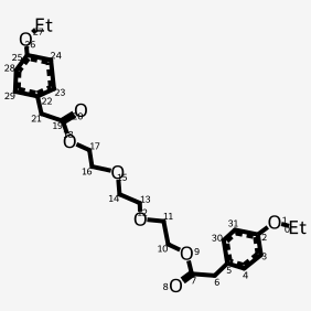 CCOc1ccc(CC(=O)OCCOCCOCCOC(=O)Cc2ccc(OCC)cc2)cc1